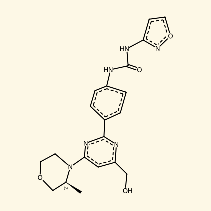 C[C@H]1COCCN1c1cc(CO)nc(-c2ccc(NC(=O)Nc3ccon3)cc2)n1